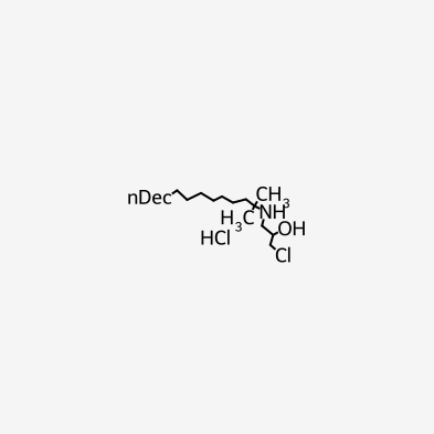 CCCCCCCCCCCCCCCCCC(C)(C)NCC(O)CCl.Cl